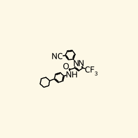 N#Cc1cccc(-n2nc(C(F)(F)F)cc2C(=O)Nc2ccc(C3CCCCC3)cc2)c1